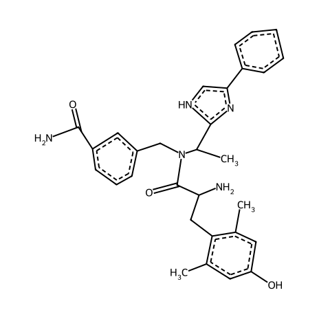 Cc1cc(O)cc(C)c1CC(N)C(=O)N(Cc1cccc(C(N)=O)c1)C(C)c1nc(-c2ccccc2)c[nH]1